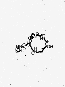 CC1=C\[C@@H](O)C[C@@H](F)Cc2nc(co2)C(=O)N2CCC[C@@H]2C(=O)O[C@H]([C@@H](C)COC(=O)Nc2cnccn2)[C@H](C)/C=C/C(=O)NC\C=C\1